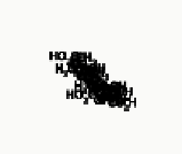 CC1(C)[C@@H](OC2O[C@H](C(=O)O)C(O)C(O)[C@H]2O[C@@H]2OC(C(=O)O)[C@@H](O)C(O)C2O)CC[C@]2(C)[C@H]3C(O)C=C4[C@@H]5C[C@@](C)(C(=O)O)CC[C@]5(C)CC[C@@]4(C)[C@]3(C)CC[C@@H]12